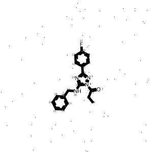 CCC(=O)n1nc(-c2ccc(F)cc2)nc1NCc1ccccc1